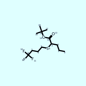 CCCC(SCCCC(F)(F)F)C(=O)OC(C)(C)C